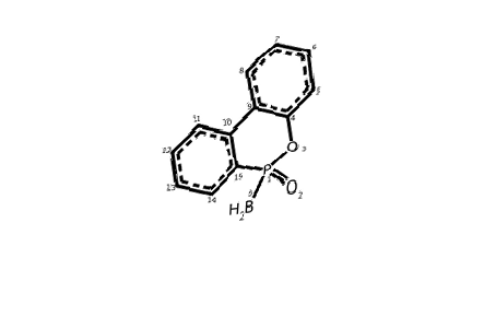 BP1(=O)Oc2ccccc2-c2ccccc21